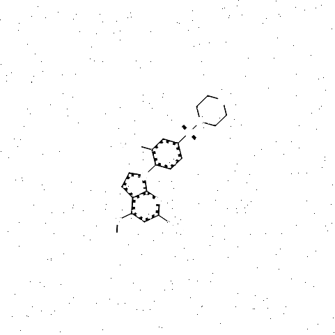 CCCNc1cc(N)nc2c1ccn2-c1ccc(S(=O)(=O)N2CCOCC2)cc1OC